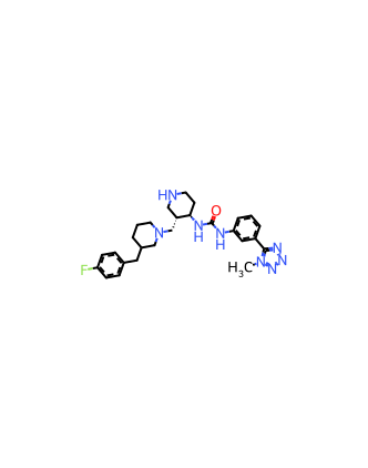 Cn1nnnc1-c1cccc(NC(=O)N[C@@H]2CCNC[C@H]2CN2CCCC(Cc3ccc(F)cc3)C2)c1